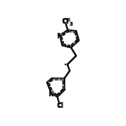 FC(F)(F)c1ccc(C[CH]Cc2ccnc(Cl)c2)cn1